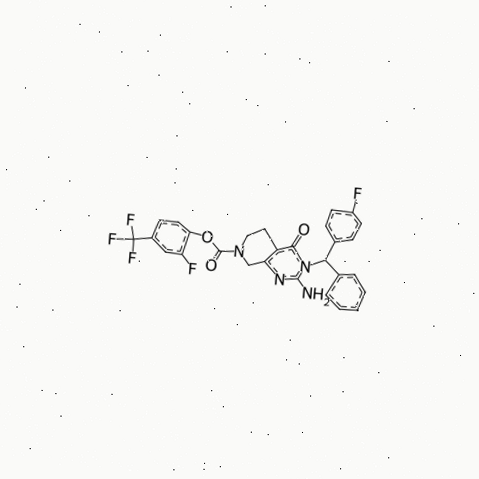 Nc1nc2c(c(=O)n1C(c1ccccc1)c1ccc(F)cc1)CCN(C(=O)Oc1ccc(C(F)(F)F)cc1F)C2